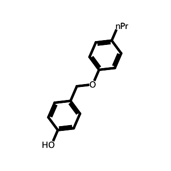 CCCc1ccc(OCc2ccc(O)cc2)cc1